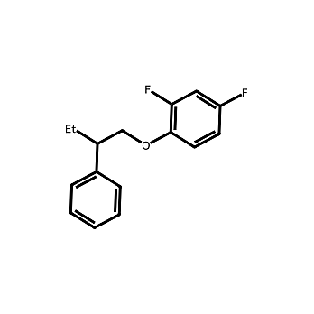 CCC(COc1ccc(F)cc1F)c1ccccc1